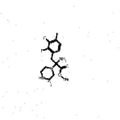 Cc1ccc(CC(N)(C(=O)OC(C)(C)C)N2CCN[C@@H](C)C2)c(F)c1F